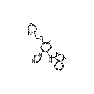 Cc1cc(Nc2ncnc3ccccc23)c(-n2ccnc2)cc1OCc1ccccn1